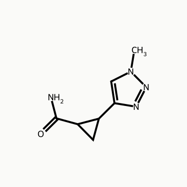 Cn1cc(C2CC2C(N)=O)nn1